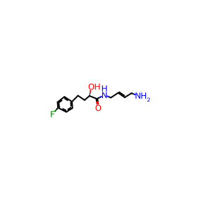 NC/C=C/CNC(=O)[C@H](O)CCc1ccc(F)cc1